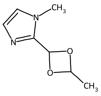 CC1OC(c2nccn2C)O1